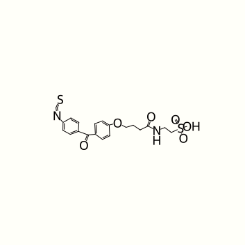 O=C(CCCOc1ccc(C(=O)c2ccc(N=C=S)cc2)cc1)NCCS(=O)(=O)O